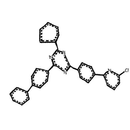 Clc1cccc(-c2ccc(-c3nc(-c4ccccc4)nc(-c4ccc(-c5ccccc5)cc4)n3)cc2)n1